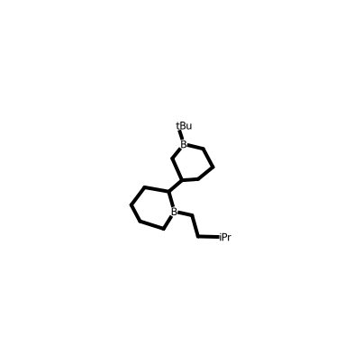 CC(C)CCB1CCCCC1C1CCCB(C(C)(C)C)C1